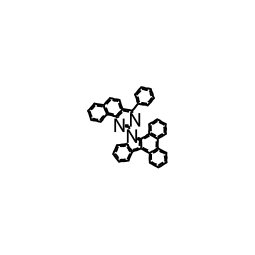 c1ccc(-c2nc(-n3c4ccccc4c4c5ccccc5c5ccccc5c43)nc3c2ccc2ccccc23)cc1